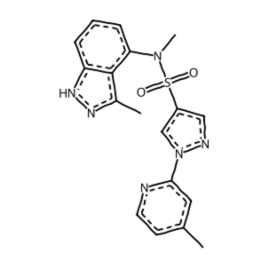 Cc1ccnc(-n2cc(S(=O)(=O)N(C)c3cccc4[nH]nc(C)c34)cn2)c1